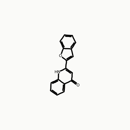 O=c1cc(-c2cc3ccccc3o2)[nH]c2ccccc12